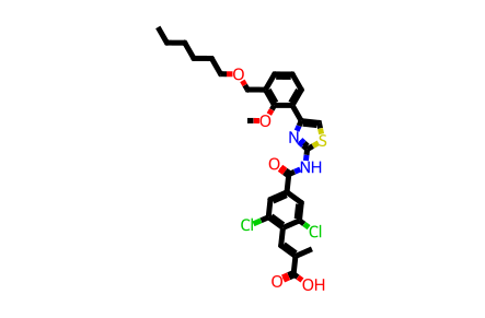 CCCCCCOCc1cccc(-c2csc(NC(=O)c3cc(Cl)c(C=C(C)C(=O)O)c(Cl)c3)n2)c1OC